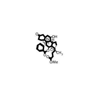 COC(=O)CC[C@@H](C)[C@H]1CC[C@H]2[C@@H]3[C@H](O)CC4CC(=O)CC[C@]4(C)[C@H]3C[C@H](OC(=O)c3ccccc3)[C@]12C